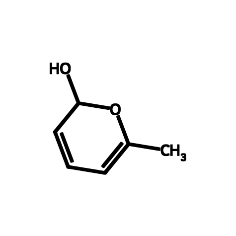 CC1=CC=CC(O)O1